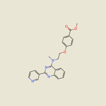 COC(=O)c1ccc(OCCN(C)c2nc(-c3cccnc3)nc3ccccc23)cc1